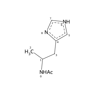 CC(=O)NC(C)Cc1c[nH]cn1